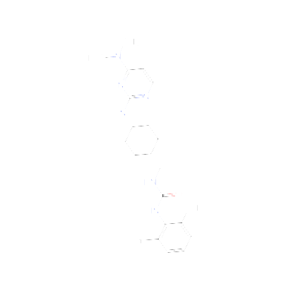 Cc1cccc(C(C)C)c1NC(=O)NC[C@H]1CC[C@@H](Nc2nccc(N(C)C)n2)CC1